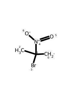 [CH2]C(C)(Br)[N+](=O)[O-]